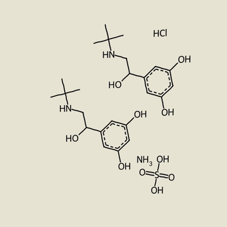 CC(C)(C)NCC(O)c1cc(O)cc(O)c1.CC(C)(C)NCC(O)c1cc(O)cc(O)c1.Cl.N.O=S(=O)(O)O